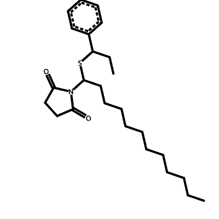 CCCCCCCCCCCC(SC(CC)c1ccccc1)N1C(=O)CCC1=O